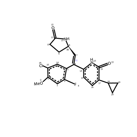 COc1cc(F)c(/C(=C\[C@H]2CCC(=O)N2)c2ccc(C3CC3)c(=O)[nH]2)cc1Cl